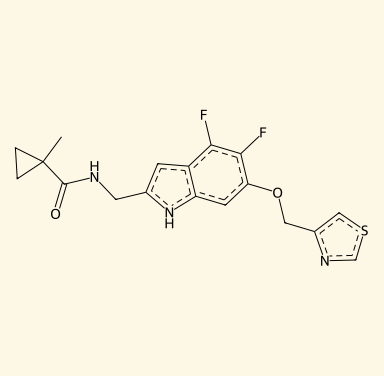 CC1(C(=O)NCc2cc3c(F)c(F)c(OCc4cscn4)cc3[nH]2)CC1